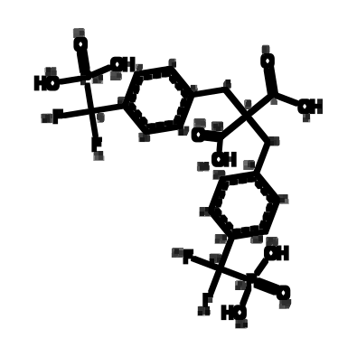 O=C(O)C(Cc1ccc(C(F)(F)P(=O)(O)O)cc1)(Cc1ccc(C(F)(F)P(=O)(O)O)cc1)C(=O)O